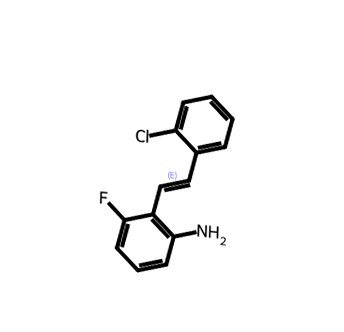 Nc1cccc(F)c1/C=C/c1ccccc1Cl